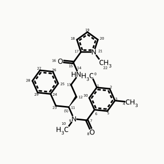 Cc1cc(C)cc(C(=O)N(C)[C@H](CCNC(=O)c2cccn2C)Cc2ccccc2)c1